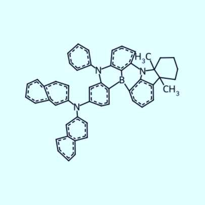 CC12CCCCC1(C)N1c3cccc4c3B(c3ccc(N(c5ccc6ccccc6c5)c5ccc6ccccc6c5)cc3N4c3ccccc3)c3cccc2c31